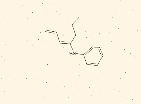 C=C/C=C(\CCC)Nc1ccccc1